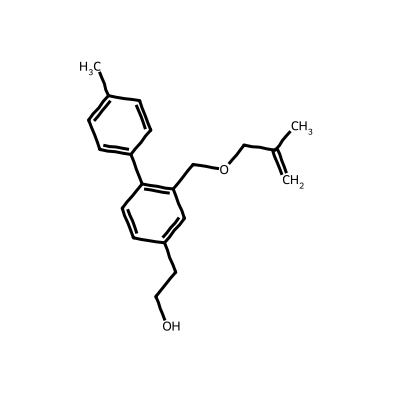 C=C(C)COCc1cc(CCO)ccc1-c1ccc(C)cc1